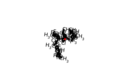 CCOC(=O)C(Cl)Cc1cc(-n2nc(C)n(C(F)F)c2=O)c(F)cc1Cl.CCOC(=O)C1=NN(c2ccc(Cl)cc2Cl)C(C)(C(=O)OCC)C1.COc1ncc(F)c2nc(S(=O)(=O)Nc3c(F)cccc3F)nn12.Cc1nn(C)c(O)c1C(=O)c1ccc(C(F)(F)F)cc1S(C)(=O)=O